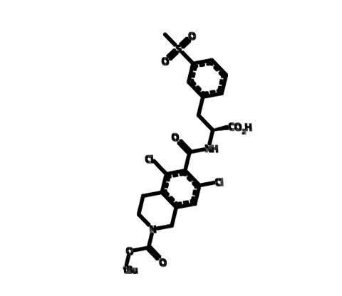 CC(C)(C)OC(=O)N1CCc2c(cc(Cl)c(C(=O)N[C@@H](Cc3cccc(S(C)(=O)=O)c3)C(=O)O)c2Cl)C1